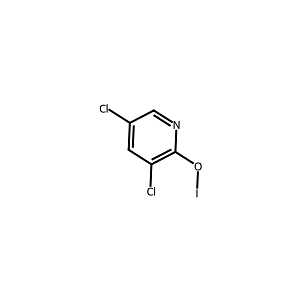 Clc1cnc(OI)c(Cl)c1